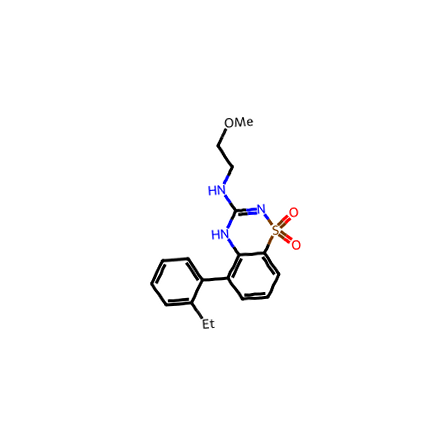 CCc1ccccc1-c1cccc2c1NC(NCCOC)=NS2(=O)=O